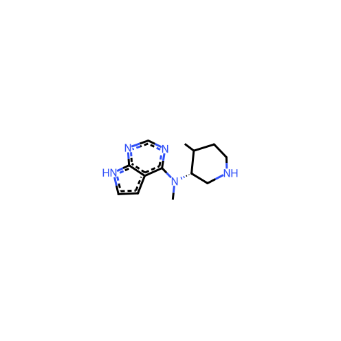 CC1CCNC[C@@H]1N(C)c1ncnc2[nH]ccc12